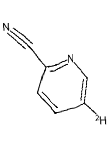 [2H]c1ccc(C#N)nc1